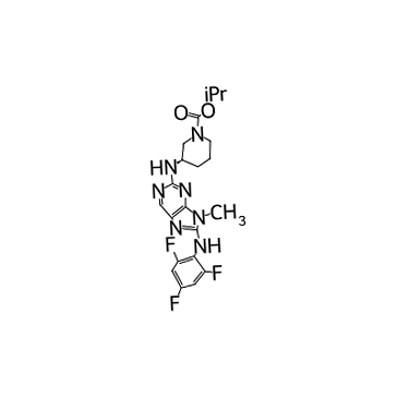 CC(C)OC(=O)N1CCC[C@@H](Nc2ncc3nc(Nc4c(F)cc(F)cc4F)n(C)c3n2)C1